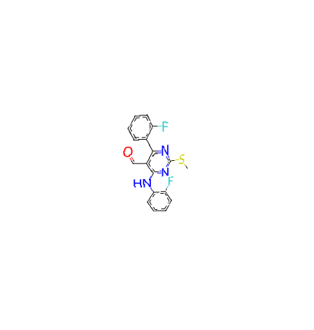 CSc1nc(Nc2ccccc2F)c(C=O)c(-c2ccccc2F)n1